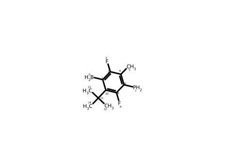 Bc1c(F)c(C)c(P)c(F)c1C(C)(C)C